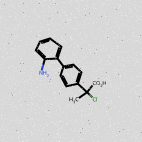 CC(Cl)(C(=O)O)c1ccc(-c2ccccc2N)cc1